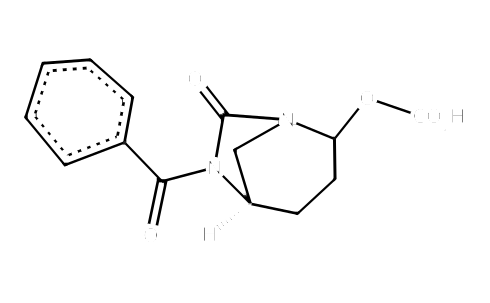 O=C(O)OC1CC[C@@H]2CN1C(=O)N2C(=O)c1ccccc1